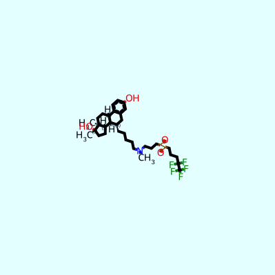 CN(CCCCC[C@@H]1Cc2cc(O)ccc2[C@H]2CC[C@@]3(C)[C@@H](CC[C@]3(C)O)[C@H]12)CCCS(=O)(=O)CCCC(F)(F)C(F)(F)F